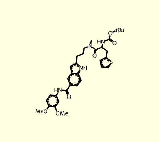 COc1ccc(NC(=O)c2ccc3[nH]c(CCCN(C)C(=O)C(Cc4cccs4)NC(=O)OC(C)(C)C)cc3c2)cc1OC